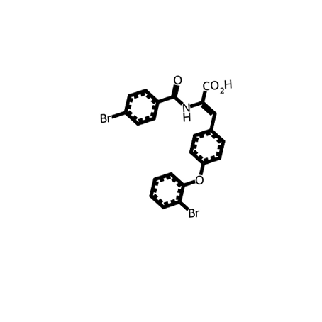 O=C(O)/C(=C/c1ccc(Oc2ccccc2Br)cc1)NC(=O)c1ccc(Br)cc1